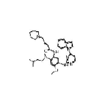 COc1cc(N(C)CCN(C)C)c(NC(=O)C=CCN2CCCCC2)cc1Nc1nccc(-n2ccc3ccccc32)n1